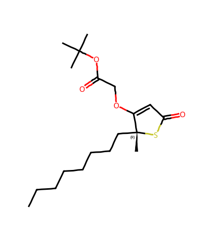 CCCCCCCC[C@@]1(C)SC(=O)C=C1OCC(=O)OC(C)(C)C